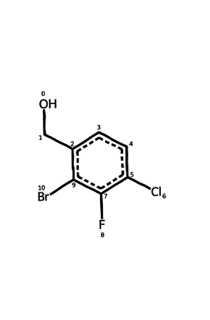 OCc1ccc(Cl)c(F)c1Br